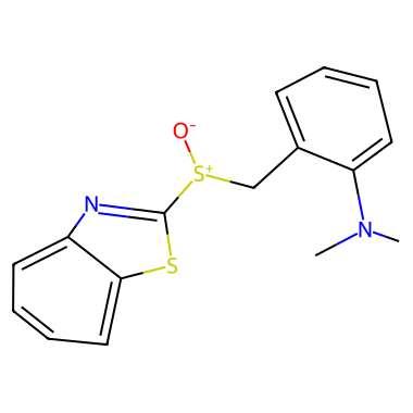 CN(C)c1ccccc1C[S+]([O-])c1nc2ccccc2s1